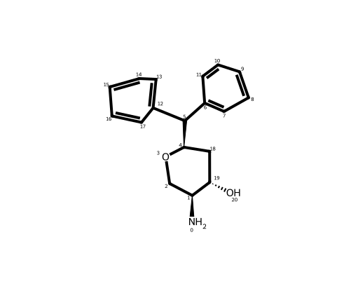 N[C@H]1CO[C@@H](C(c2ccccc2)c2ccccc2)C[C@@H]1O